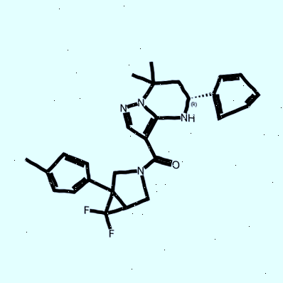 Cc1ccc(C23CN(C(=O)c4cnn5c4N[C@@H](c4ccccc4)CC5(C)C)CC2C3(F)F)cc1